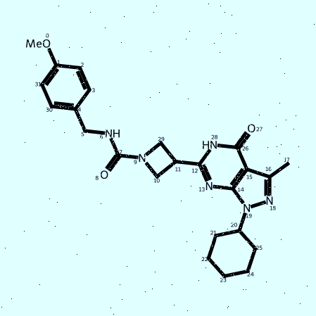 COc1ccc(CNC(=O)N2CC(c3nc4c(c(C)nn4C4CCCCC4)c(=O)[nH]3)C2)cc1